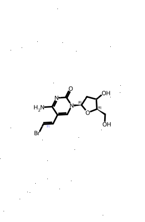 Nc1nc(=O)n([C@H]2CC(O)[C@@H](CO)O2)cc1/C=C/Br